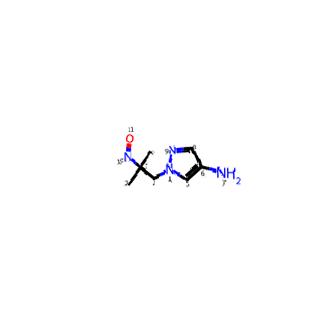 CC(C)(Cn1cc(N)cn1)N=O